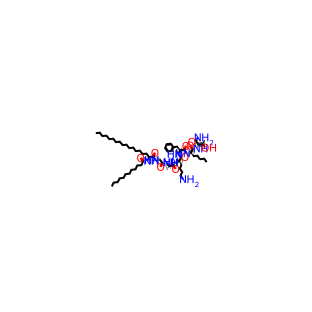 CCCCCCCCCCCCCCCCC(NC(=O)CCCCCCCCCCC)C(=O)NCC(=O)N[C@@H](C)C(=O)N[C@H](CCCCN)C(=O)N[C@@H](Cc1ccccc1)C(=O)N[C@H](CCCCC)C(=O)N[C@H](C(N)=O)[C@@H](C)O